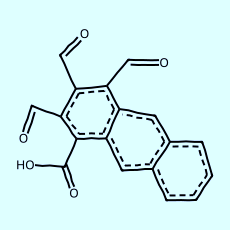 O=Cc1c(C=O)c(C(=O)O)c2cc3ccccc3cc2c1C=O